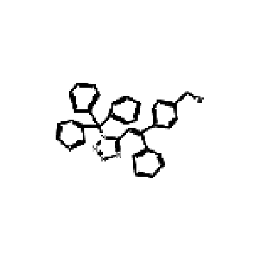 BrCc1ccc(C(=Cc2nnnn2C(c2ccccc2)(c2ccccc2)c2ccccc2)c2ccccc2)cc1